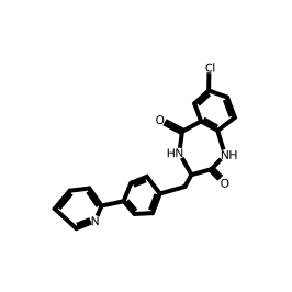 O=C1NC(Cc2ccc(-c3ccccn3)cc2)C(=O)Nc2ccc(Cl)cc21